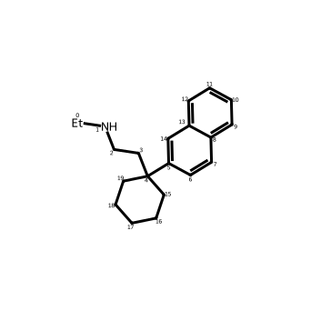 CCNCCC1(c2ccc3ccccc3c2)CCCCC1